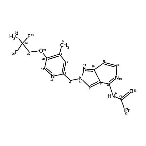 Cc1cc(Cn2cc3c(NC(=O)C(C)C)nccc3n2)ncc1OCC(C)(F)F